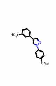 COc1ccc(-n2cc(-c3cccc(C(=O)O)c3)cn2)cc1